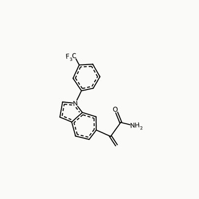 C=C(C(N)=O)c1ccc2ccn(-c3cccc(C(F)(F)F)c3)c2c1